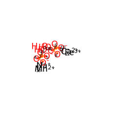 O.O=P([O-])([O-])[O-].O=P([O-])([O-])[O-].[Ca+2].[Fe+3].[Mn+2].[Na+].[OH-].[OH-]